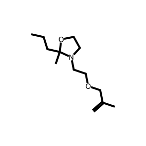 C=C(C)COCCN1CCOC1(C)CCC